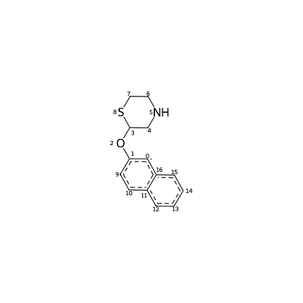 [c]1c(OC2CNCCS2)ccc2ccccc12